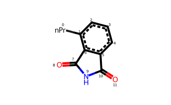 [CH2]CCc1cccc2c1C(=O)NC2=O